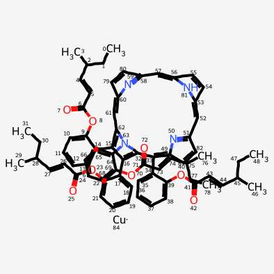 CCC(C)C=CC(=O)Oc1ccccc1-c1c(-c2ccccc2OC(=O)C=CC(C)CC)c2c(-c3ccccc3OC(=O)C=CC(C)CC)c3nc(cc4ccc(cc5nc(cc1n2-c1ccccc1OC(=O)C=CC(C)CC)C=C5)[nH]4)C=C3.[Cu]